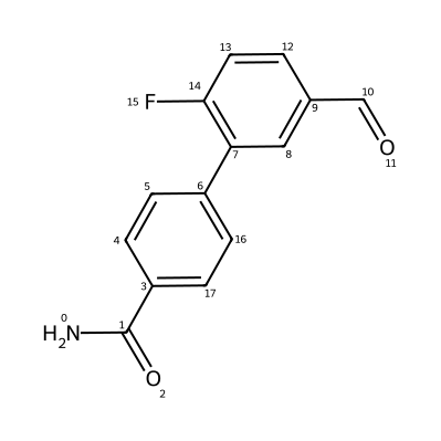 NC(=O)c1ccc(-c2cc(C=O)ccc2F)cc1